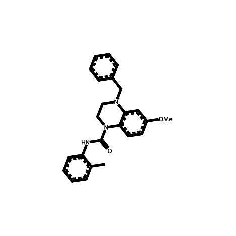 COc1ccc2c(c1)N(Cc1ccccc1)CCN2C(=O)Nc1ccccc1C